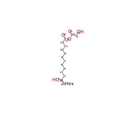 CCCCCC[C@@H](O)CCCCCCCCCCC(=O)OC(=O)CO